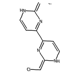 ClC=C1N=C(C2=NC(=CCl)NC=C2)C=CN1